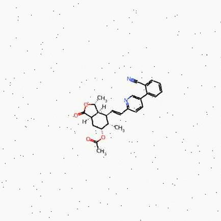 CC(=O)O[C@@H]1C[C@H]2C(=O)O[C@H](C)[C@H]2[C@@H](/C=C/c2ccc(-c3ccccc3C#N)cn2)[C@@H]1C